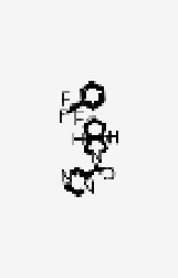 O=C(c1cnccn1)N1C[C@H]2C[C@@H](c3ccccc3C(F)(F)F)C[C@H]2C1